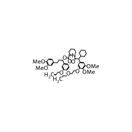 C=CCOCCOc1cc(C(C(=O)N2CCCC[C@@H]2C(=O)OC(CCc2ccc(OC)c(OC)c2)c2cccc(OCC=C)c2)C2CCCCC2)cc(OC)c1OC